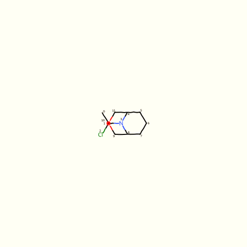 CC(Cl)N1C2CCCC1COC2